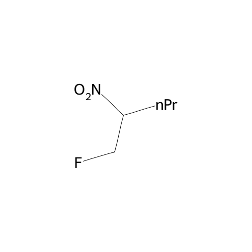 CCCC(CF)[N+](=O)[O-]